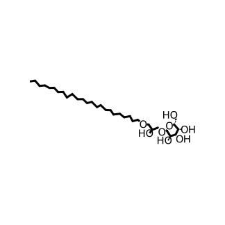 CCCCCCCCCCCCCCCCCCCCCCCCOCC(O)CO[C@@H]1O[C@H](CO)[C@H](O)[C@H](O)[C@H]1O